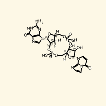 Nc1nc2c(ncn2[C@@H]2O[C@@H]3COP(=O)(S)O[C@H]4[C@@H](O)[C@H](n5ccc(=O)n6ccnc56)O[C@@H]4COP(=O)(S)O[C@@H]2[C@@H]3F)c(=O)[nH]1